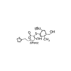 CCCCCC1(CCc2cccs2)CC(O)=C(Sc2cc(C)c(CO)cc2C(C)(C)C)C(=O)O1